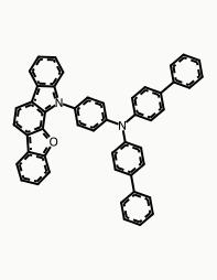 c1ccc(-c2ccc(N(c3ccc(-c4ccccc4)cc3)c3ccc(-n4c5ccccc5c5ccc6c7ccccc7oc6c54)cc3)cc2)cc1